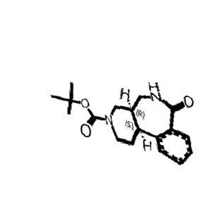 CC(C)(C)OC(=O)N1CC[C@@H]2c3ccccc3C(=O)NC[C@@H]2C1